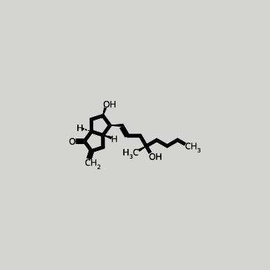 C=C1C[C@H]2[C@H](C=CC[C@@](C)(O)CCCC)[C@H](O)C[C@@H]2C1=O